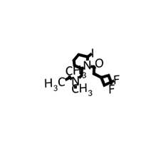 CC(C)N(C)CC1CCCC(I)N1C(=O)CC1CC(F)(F)C1